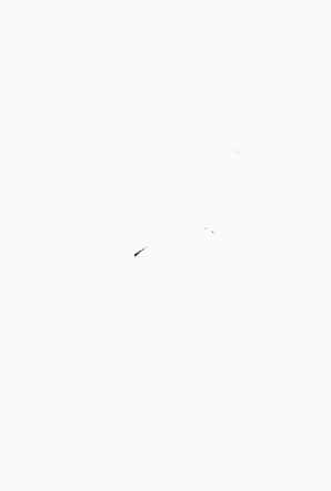 C=C[C@@H](NC(=O)OC(C)(C)C)[C@@H](C)O